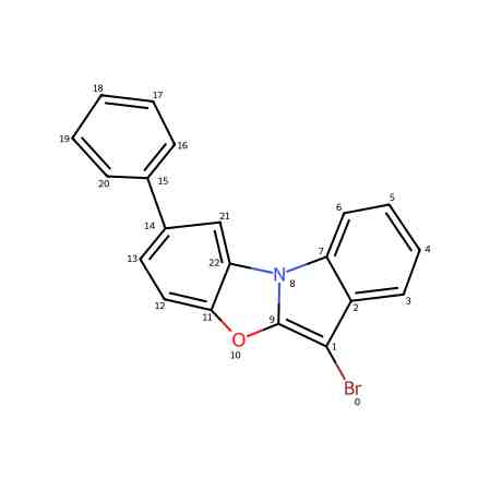 Brc1c2ccccc2n2c1oc1ccc(-c3ccccc3)cc12